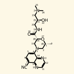 C[C@@H]1CN(c2ccc(C#N)c3nccnc23)C[C@H](C(=O)NC[C@H](O)CN(C)C)O1